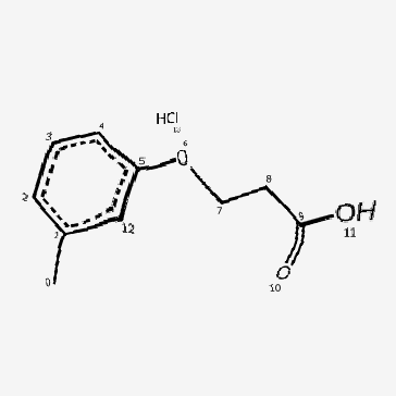 Cc1cccc(OCCC(=O)O)c1.Cl